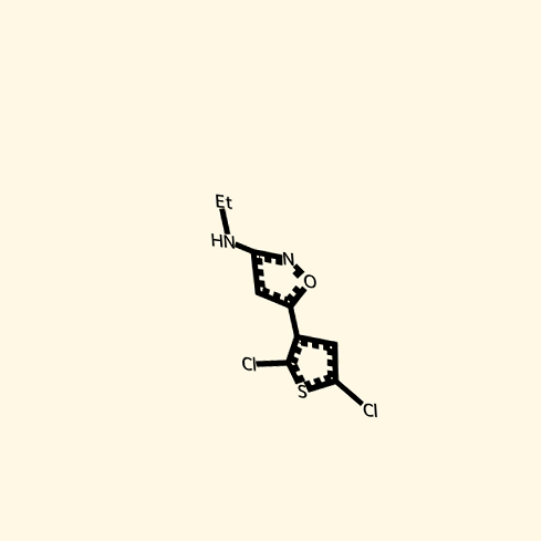 CCNc1cc(-c2cc(Cl)sc2Cl)on1